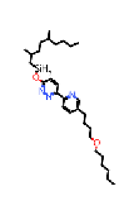 CCCCCCOCCCCc1ccc(-c2ccc(O[SiH2]CC(C)CCC(C)CCCC)nn2)nc1